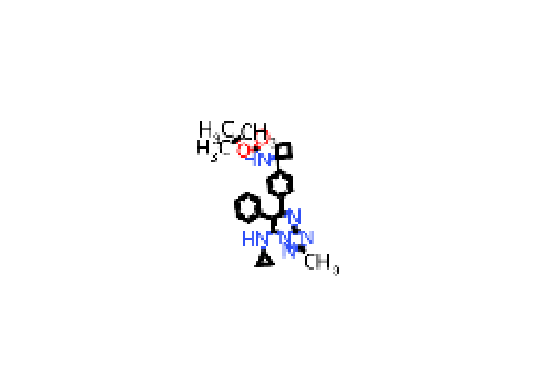 Cc1nc2nc(-c3ccc(C4(NC(=O)OC(C)(C)C)CCC4)cc3)c(-c3ccccc3)c(NC3CC3)n2n1